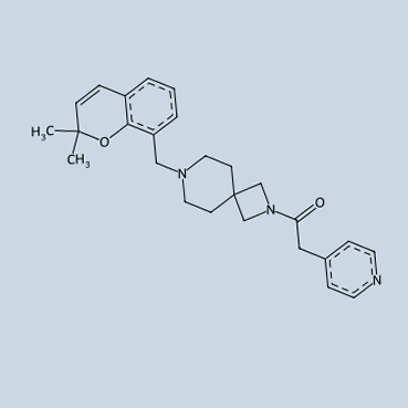 CC1(C)C=Cc2cccc(CN3CCC4(CC3)CN(C(=O)Cc3ccncc3)C4)c2O1